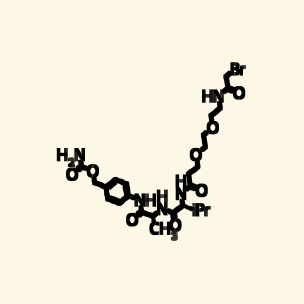 CC(C)[C@H](NC(=O)CCOCCOCCNC(=O)CBr)C(=O)N[C@@H](C)C(=O)Nc1ccc(COC(N)=O)cc1